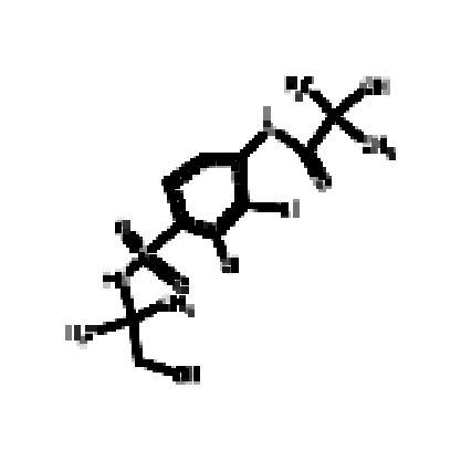 CC(C)(CO)NS(=O)(=O)c1ccc(NC(=O)C(C)(O)C(F)(F)F)c(Cl)c1Cl